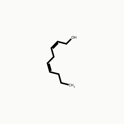 CCC/C=C\C/C=C\CO